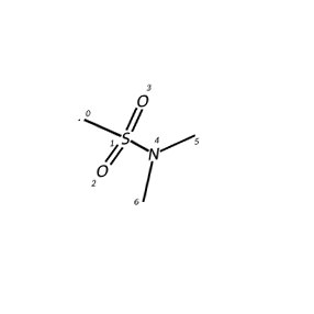 [CH2]S(=O)(=O)N(C)C